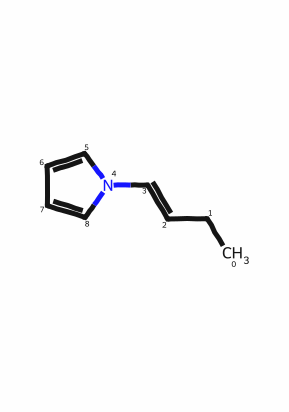 CCC=Cn1cccc1